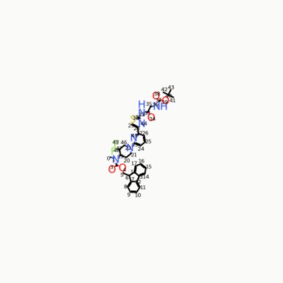 CN(C(=O)OCC1c2ccccc2-c2ccccc21)[C@@H]1CCN(c2cccc(-c3csc(NC(=O)CNC(=O)OC(C)(C)C)n3)n2)CC1(F)F